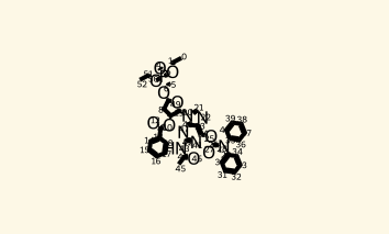 CCOP(=O)(CO[C@@H]1C[C@H](OC(=O)c2ccccc2)[C@H](n2cnc3c(OC(=O)N(c4ccccc4)c4ccccc4)nc(NC(C)=O)nc32)O1)OCC